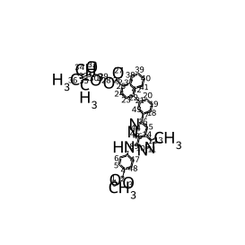 COC(=O)c1ccc(Nc2nnc(C)c3cc(-c4cccc(-c5ccc(C(=O)OCOC(=O)C(C)(C)C)c6ccccc56)c4)nnc23)cc1